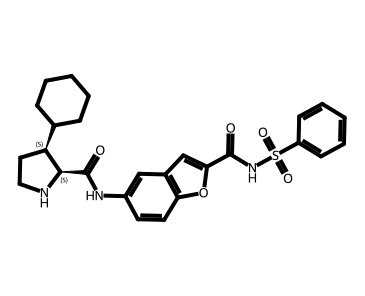 O=C(NS(=O)(=O)c1ccccc1)c1cc2cc(NC(=O)[C@H]3NCC[C@H]3C3CCCCC3)ccc2o1